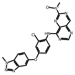 Cn1nnc2cc(Oc3ccc(Nc4ncnc5cnc([S+](C)[O-])nc45)c(Cl)c3)ccc21